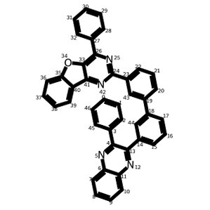 c1ccc(-c2nc3ccccc3nc2-c2cccc(-c3cccc(-c4nc(-c5ccccc5)c5oc6ccccc6c5n4)c3)c2)cc1